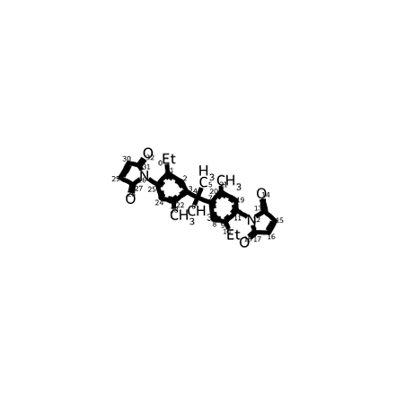 CCc1cc(C(C)(C)c2cc(CC)c(N3C(=O)C=CC3=O)cc2C)c(C)cc1N1C(=O)C=CC1=O